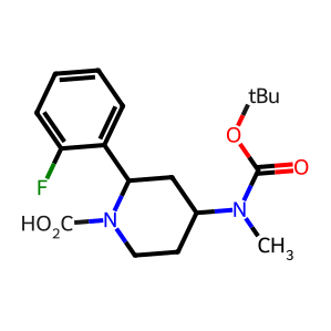 CN(C(=O)OC(C)(C)C)C1CCN(C(=O)O)C(c2ccccc2F)C1